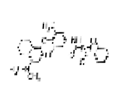 Cc1cc(NC(=O)NC(=O)c2ccccc2Cl)cc(Cl)c1Oc1ccc(N(C)C)c2c1CCCC2